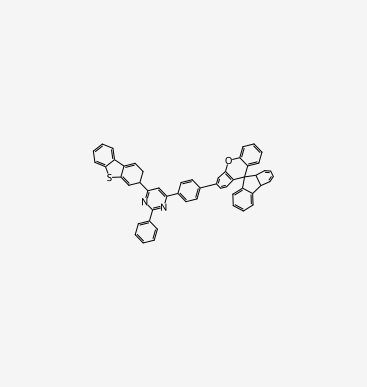 C1=CC2c3ccccc3C3(c4ccccc4Oc4cc(-c5ccc(-c6cc(C7C=c8sc9ccccc9c8=CC7)nc(-c7ccccc7)n6)cc5)ccc43)C2C=C1